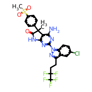 CC1(c2ccc(S(C)(=O)=O)cc2)C(=O)Nc2nc(-n3nc(CCC(F)(F)C(F)(F)F)c4cc(Cl)ccc43)nc(N)c21